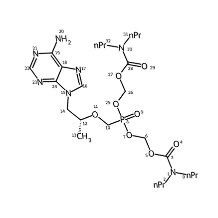 CCCN(CCC)C(=O)OCOP(=O)(CO[C@H](C)Cn1cnc2c(N)ncnc21)OCOC(=O)N(CCC)CCC